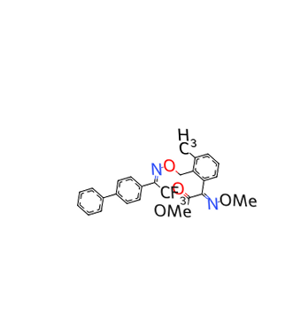 CO/N=C(/C(=O)OC)c1cccc(C)c1CO/N=C(/c1ccc(-c2ccccc2)cc1)C(F)(F)F